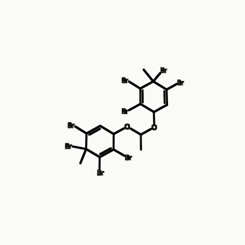 CC(OC1C=C(Br)C(C)(Br)C(Br)=C1Br)OC1C=C(Br)C(C)(Br)C(Br)=C1Br